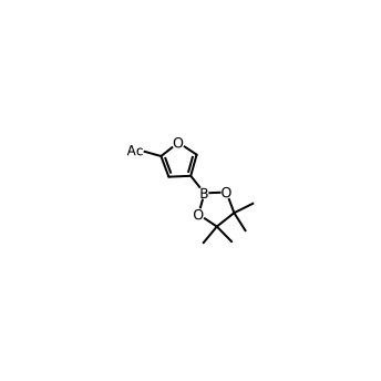 CC(=O)c1cc(B2OC(C)(C)C(C)(C)O2)co1